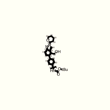 CC(C)(C)OC(=O)NC(C)(C)c1ccc(-c2ccc3nn(C4CCCCO4)cc3c2CO)cc1